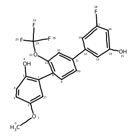 COc1ccc(O)c(-c2ccc(-c3cc(O)cc(F)c3)cc2OC(F)(F)F)c1